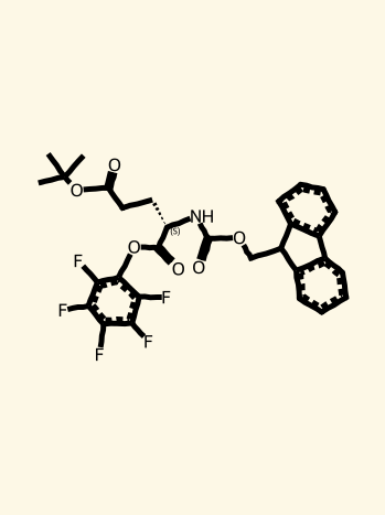 CC(C)(C)OC(=O)CC[C@H](NC(=O)OCC1c2ccccc2-c2ccccc21)C(=O)Oc1c(F)c(F)c(F)c(F)c1F